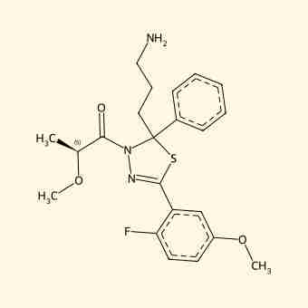 COc1ccc(F)c(C2=NN(C(=O)[C@H](C)OC)C(CCCN)(c3ccccc3)S2)c1